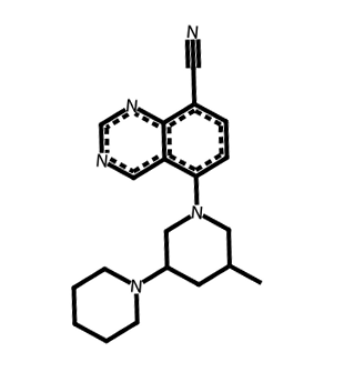 CC1CC(N2CCCCC2)CN(c2ccc(C#N)c3ncncc23)C1